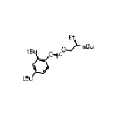 CCCCC(CC)CO[P]Oc1ccc(C(C)(C)C)cc1C(C)(C)C